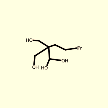 CC(C)CCC(CO)(CO)C(O)O